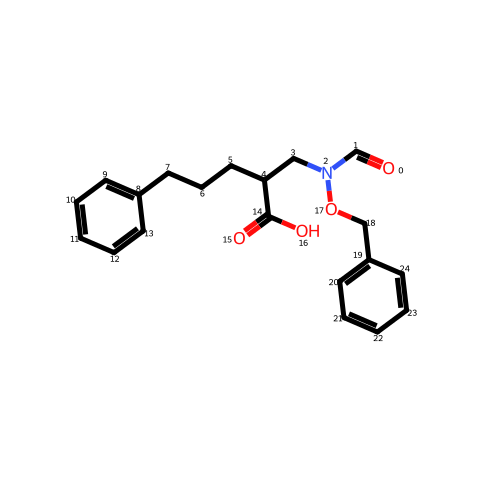 O=CN(CC(CCCc1ccccc1)C(=O)O)OCc1ccccc1